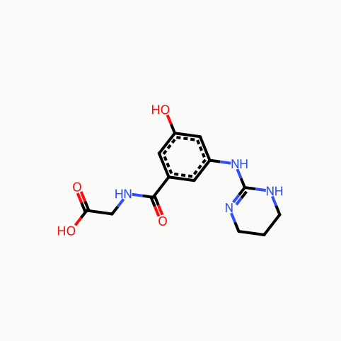 O=C(O)CNC(=O)c1cc(O)cc(NC2=NCCCN2)c1